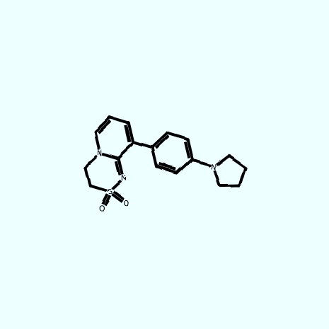 O=S1(=O)CCN2C=CC=C(c3ccc(N4CCCC4)cc3)C2=N1